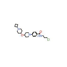 O=C(NCCCCl)c1ccc(N2CCC(OC3CCN(C4CCC4)CC3)CC2)cc1